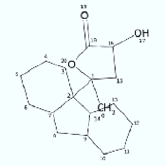 CC1(C23CCCCC2CC2CCCCC23)CC(O)C(=O)O1